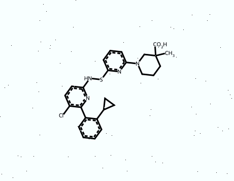 CC1(C(=O)O)CCCN(c2cccc(SNc3ccc(Cl)c(-c4ccccc4C4CC4)n3)n2)C1